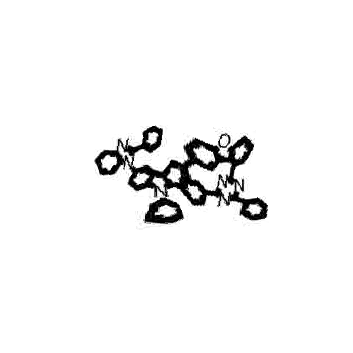 c1ccc(-c2nc(-c3ccccc3)nc(-c3cccc4oc5ccc(-c6ccc7c(c6)c6cc(-n8c(-c9ccccc9)nc9ccccc98)ccc6n7-c6ccccc6)cc5c34)n2)cc1